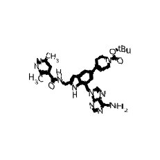 Cc1cc(C(=O)NCc2cc3cc(C4=CCN(C(=O)OC(C)(C)C)CC4)cc(Cn4cnc5c(N)ncnc54)c3[nH]2)c(C)nn1